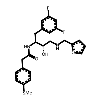 CSc1ccc(CC(=O)N[C@@H](Cc2cc(F)cc(F)c2)[C@@H](O)CNCc2ccco2)cc1